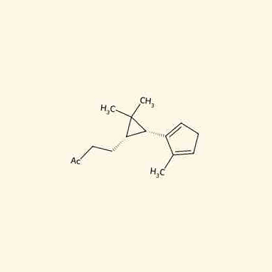 CC(=O)CC[C@H]1[C@@H](C2=CCC=C2C)C1(C)C